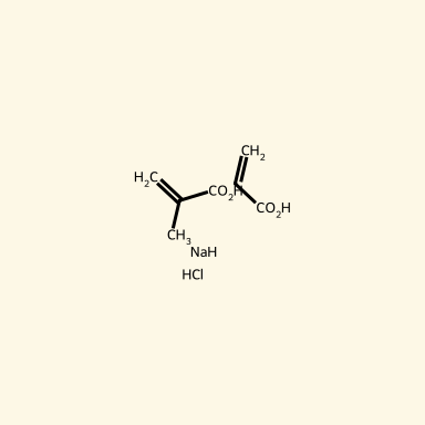 C=C(C)C(=O)O.C=CC(=O)O.Cl.[NaH]